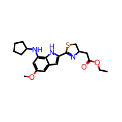 CCOC(=O)CC1CSC(c2cc3cc(OC)cc(NC4CCCC4)c3[nH]2)=N1